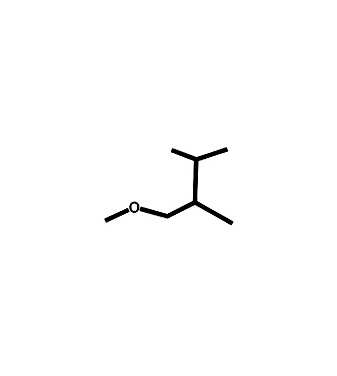 COCC(C)C(C)C